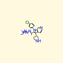 CC/C(C)=N\N/N=C(\C)c1c(C2CCNCC2)c2ccncc2n1-c1ccc(Cl)cc1